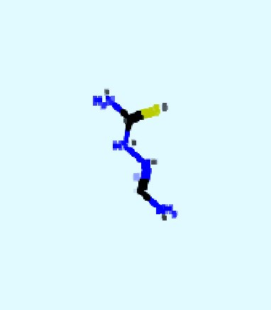 N/C=N/NC(N)=S